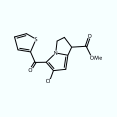 COC(=O)C1CCn2c1cc(Cl)c2C(=O)c1cccs1